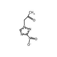 CC(=O)Cn1cnc([N+](=O)[O-])n1